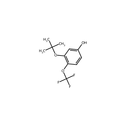 CC(C)(C)Oc1cc(O)ccc1OC(F)(F)F